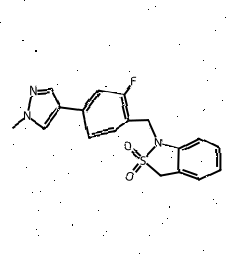 Cn1cc(-c2ccc(CN3c4ccccc4CS3(=O)=O)c(F)c2)cn1